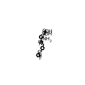 Nc1c(-c2cc(Cc3ccc(COc4cccc(F)n4)cc3)no2)ccc[n+]1COP(=O)(O)O